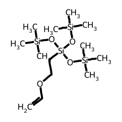 C=COCC[Si](O[Si](C)(C)C)(O[Si](C)(C)C)O[Si](C)(C)C